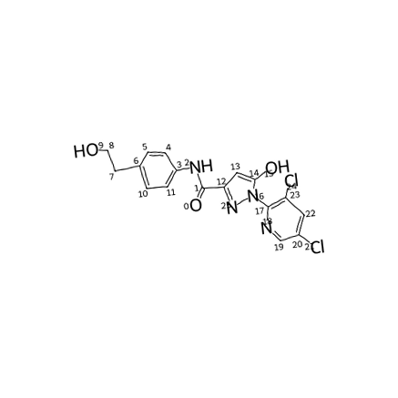 O=C(Nc1ccc(CCO)cc1)c1cc(O)n(-c2ncc(Cl)cc2Cl)n1